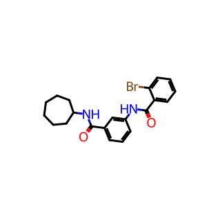 O=C(NC1CCCCCC1)c1cccc(NC(=O)c2ccccc2Br)c1